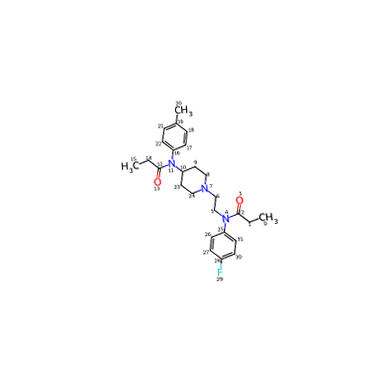 CCC(=O)N(CCN1CCC(N(C(=O)CC)c2ccc(C)cc2)CC1)c1ccc(F)cc1